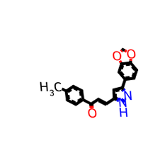 Cc1ccc(C(=O)C=Cc2cc(-c3ccc4c(c3)OCO4)n[nH]2)cc1